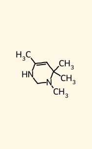 CC1=CC(C)(C)N(C)CN1